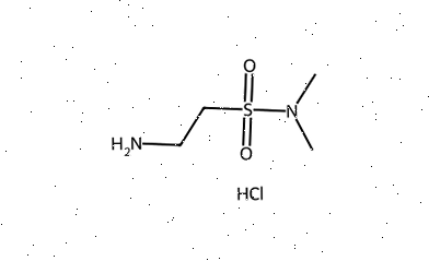 CN(C)S(=O)(=O)CCN.Cl